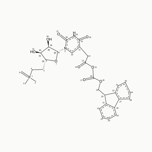 C=P(C)(C)CC[C@H]1O[C@@H](n2cc(CC(=O)OC(=O)OCC3c4ccccc4-c4ccccc43)c(=O)[nH]c2=O)[C@H](O)[C@@H]1O